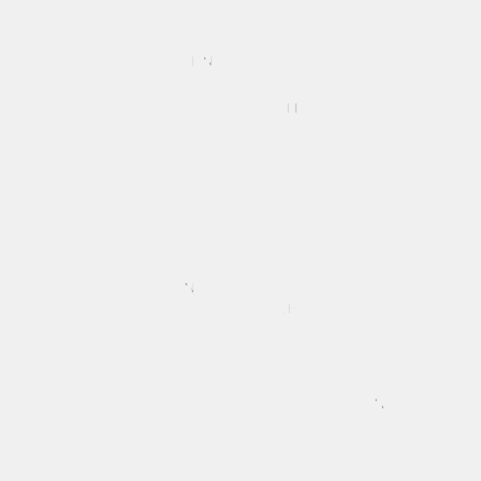 Cc1cc(-c2ccc(-c3ccc(N(c4ccc(-c5cccc6ccccc56)cc4)c4ccc5c(c4)C(C)(C)c4cc(-c6ccc7c(c6)c6ccccc6n7-c6ccccc6)ccc4-5)cc3)cc2)ccc1-c1ccccc1Nc1ccccc1